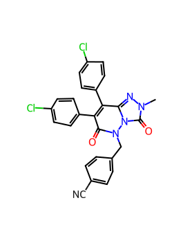 Cn1nc2c(-c3ccc(Cl)cc3)c(-c3ccc(Cl)cc3)c(=O)n(Cc3ccc(C#N)cc3)n2c1=O